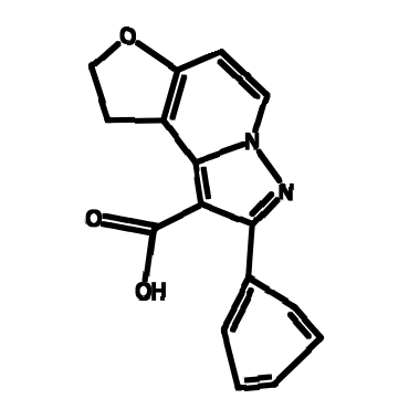 O=C(O)c1c(-c2ccccc2)nn2ccc3c(c12)CCO3